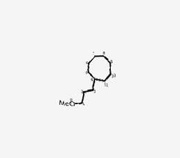 COCCC[C]1CCCCCCC1